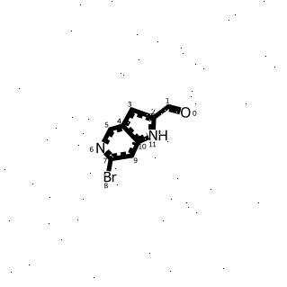 O=Cc1cc2cnc(Br)cc2[nH]1